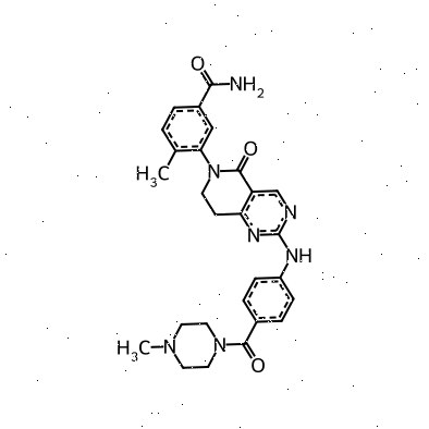 Cc1ccc(C(N)=O)cc1N1CCc2nc(Nc3ccc(C(=O)N4CCN(C)CC4)cc3)ncc2C1=O